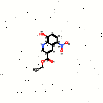 CCOC(=O)c1cnc2c(O)ccc([N+](=O)[O-])c2c1